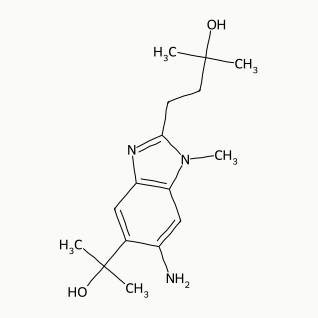 Cn1c(CCC(C)(C)O)nc2cc(C(C)(C)O)c(N)cc21